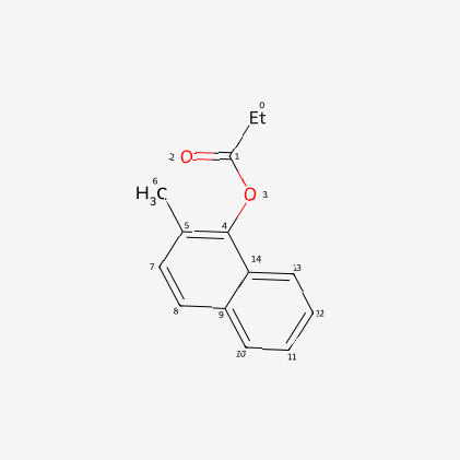 CCC(=O)Oc1c(C)ccc2ccccc12